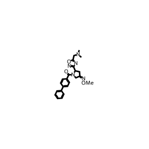 CON=C1CC(c2noc(CN(C)C)n2)N(C(=O)c2ccc(-c3ccccc3)cc2)C1